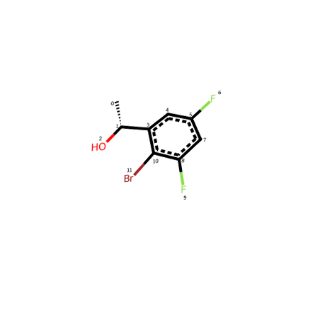 C[C@@H](O)c1cc(F)cc(F)c1Br